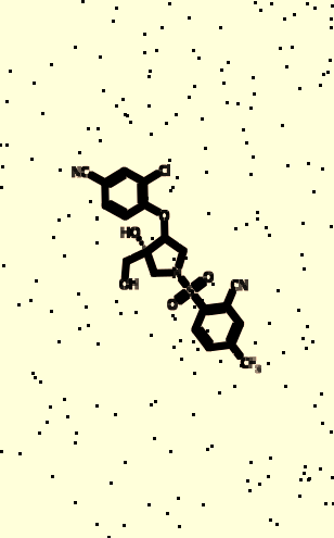 N#Cc1ccc(OC2CN(S(=O)(=O)c3ccc(C(F)(F)F)cc3C#N)C[C@@]2(O)CO)c(Cl)c1